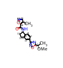 CO[C@@H](C)c1nc(-c2ccc3c(c2)CC[C@H]3NC(=O)c2oncc2C)no1